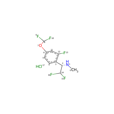 CN[C@@H](c1ccc(OC(F)F)cc1F)C(F)F.Cl